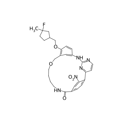 CC1(F)CCC(COc2ccc3cc2COCCCCNC(=O)c2ccc(c([N+](=O)[O-])c2)-c2ccnc(n2)N3)C1